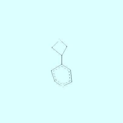 c1cc(C2CNC2)ccn1